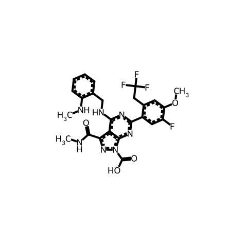 CNC(=O)c1nn(C(=O)O)c2nc(-c3cc(F)c(OC)cc3CC(F)(F)F)nc(NCc3ccccc3NC)c12